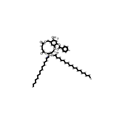 CCCCCCCCCCCCC/C=C/[C@H]1OC(=O)CCC(=O)OCC2C[C@@H](OC[C@@H]1NC(=O)CCCCCCCCCCCCCCCCC)C(OC(=O)c1ccccc1)[C@@H](C)[C@@H]2O